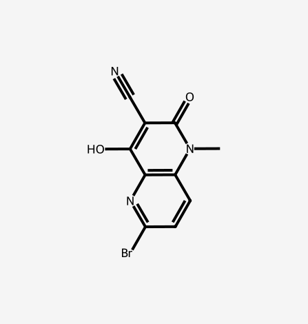 Cn1c(=O)c(C#N)c(O)c2nc(Br)ccc21